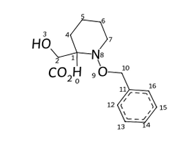 O=C(O)C1(CO)CCCCN1OCc1ccccc1